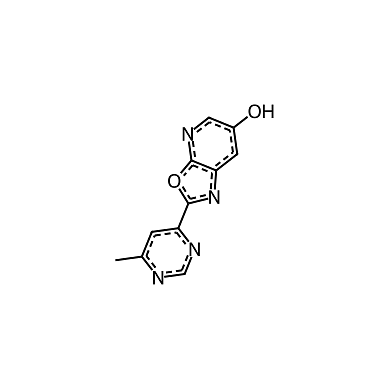 Cc1cc(-c2nc3cc(O)cnc3o2)ncn1